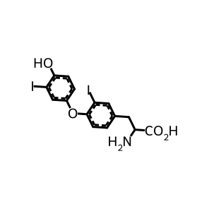 NC(Cc1ccc(Oc2ccc(O)c(I)c2)c(I)c1)C(=O)O